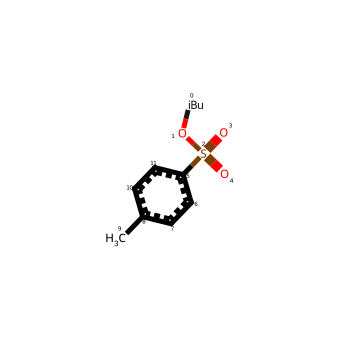 CCC(C)OS(=O)(=O)c1ccc(C)cc1